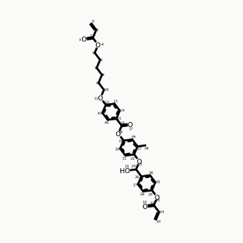 C=CC(=O)OCCCCCCOc1ccc(C(=O)Oc2ccc(OC(O)c3ccc(OC(=O)C=C)cc3)c(C)c2)cc1